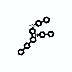 C1=CC(c2ccc(NC3=CC=C4C5=CC(c6ccc(C7=CCCC=C7)cc6)=CCC5N(c5ccc(-c6ccccc6)cc5)C4C3)cc2)=CCC1